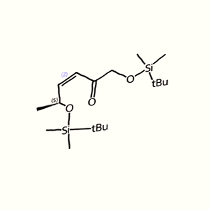 C[C@@H](/C=C\C(=O)CO[Si](C)(C)C(C)(C)C)O[Si](C)(C)C(C)(C)C